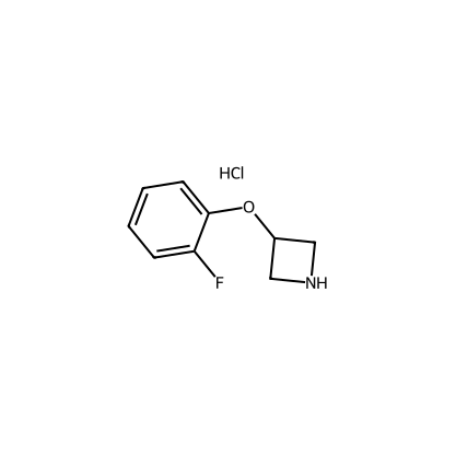 Cl.Fc1ccccc1OC1CNC1